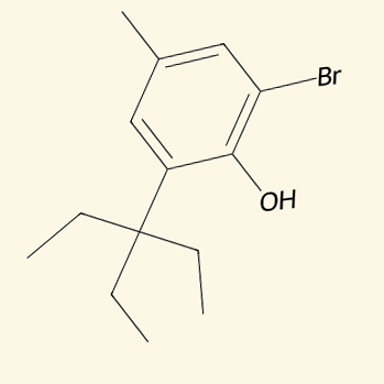 CCC(CC)(CC)c1cc(C)cc(Br)c1O